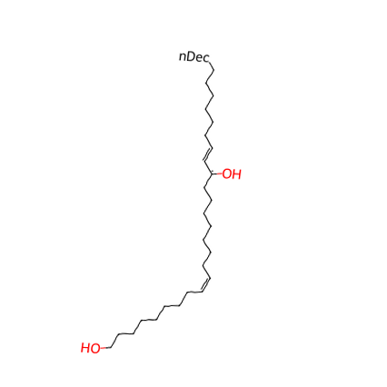 CCCCCCCCCCCCCCCCC=C[C](O)CCCCCCC/C=C\CCCCCCCCO